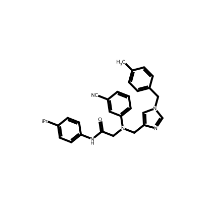 Cc1ccc(Cn2cnc(CN(CC(=O)Nc3ccc(C(C)C)cc3)c3cccc(C#N)c3)c2)cc1